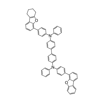 c1ccc(N(c2ccc(-c3ccc(N(c4ccccc4)c4ccc(-c5cccc6c5oc5ccccc56)cc4)cc3)cc2)c2ccc(-c3cccc4c5c(oc34)CCCC5)cc2)cc1